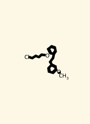 COc1cccc(CCc2ccccc2OCCCCCl)c1